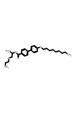 CCCCCCCCCOc1ccc(-c2ccc(C(=O)OC(C)COCCC)cc2)cc1